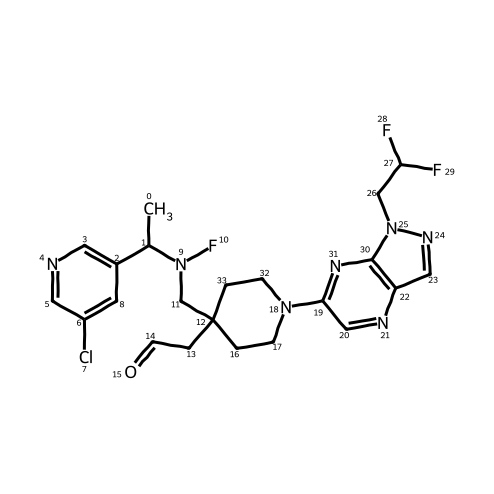 CC(c1cncc(Cl)c1)N(F)CC1(CC=O)CCN(c2cnc3cnn(CC(F)F)c3n2)CC1